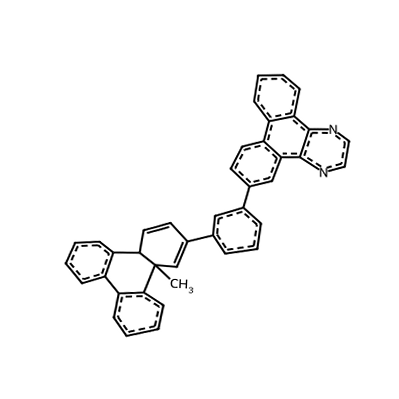 CC12C=C(c3cccc(-c4ccc5c6ccccc6c6nccnc6c5c4)c3)C=CC1c1ccccc1-c1ccccc12